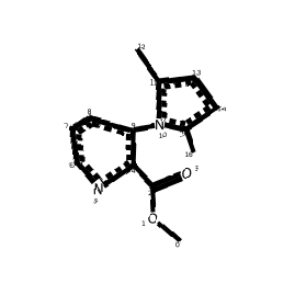 COC(=O)c1ncccc1-n1c(C)ccc1C